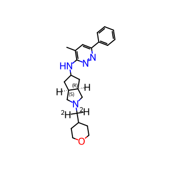 [2H]C([2H])(C1CCOCC1)N1C[C@H]2CC(Nc3nnc(-c4ccccc4)cc3C)C[C@H]2C1